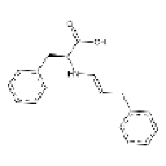 O=C(O)[C@H](Cc1ccccc1)NC=CCc1ccccc1